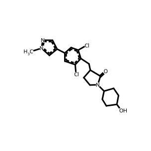 Cn1cc(-c2cc(Cl)c(CC3CCN(C4CCC(O)CC4)C3=O)c(Cl)c2)cn1